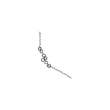 CCCCCCCCCCCCCCCCCCOC(C)c1ccc(C(=O)Oc2ccc(-c3ccc(OCCCCCCCCCCCC)cc3)cc2)cc1